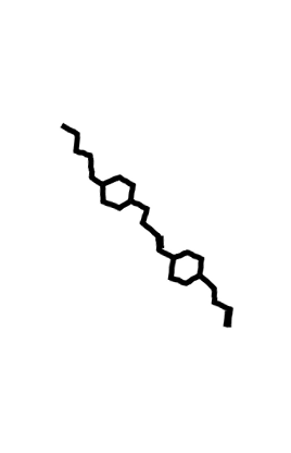 C=CCCC1CCC(C=CCCC2CCC(CCCCC)CC2)CC1